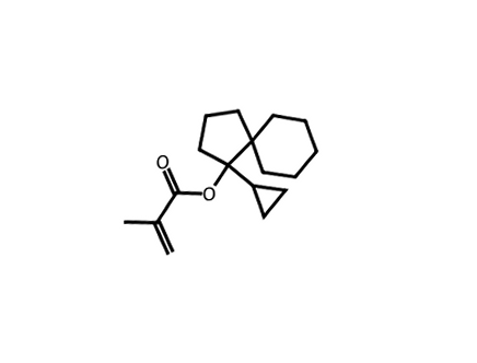 C=C(C)C(=O)OC1(C2CC2)CCCC12CCCCC2